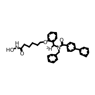 [2H]C(c1ccccc1OCCCCCC(=O)NO)N(Cc1ccccc1)C(=O)c1ccc(-c2ccccc2)cc1